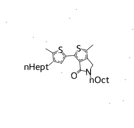 CCCCCCCCN1Cc2c(C)sc(-c3cc(CCCCCCC)c(C)s3)c2C1=O